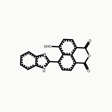 O=Cc1ccc2c3c(ccc(-c4nc5ccccc5[nH]4)c13)C(=O)OC2=O